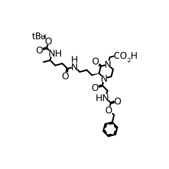 CC(CCC(=O)NCCC[C@H]1C(=O)N(CC(=O)O)CCN1C(=O)CNC(=O)OCc1ccccc1)NC(=O)OC(C)(C)C